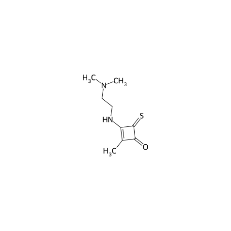 Cc1c(NCCN(C)C)c(=S)c1=O